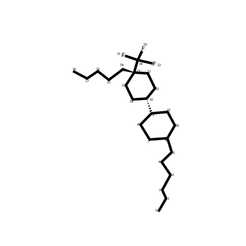 CCCCCCC1CCC([C@H]2CC[C@@](CCCCC)(C(F)(F)F)CC2)CC1